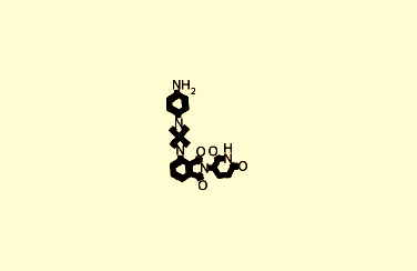 Nc1ccc(N2CC3(C2)CN(c2cccc4c2C(=O)N(C2CCC(=O)NC2=O)C4=O)C3)cc1